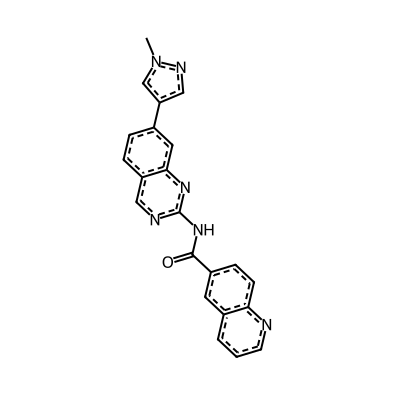 Cn1cc(-c2ccc3cnc(NC(=O)c4ccc5ncccc5c4)nc3c2)cn1